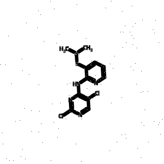 CN(C)Sc1cccnc1Nc1nc(Cl)ncc1Cl